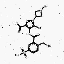 CCCCOc1ccc(S(C)(=O)=O)cc1C(=O)Nc1c(C(N)=O)nn(C2CN(C(C)C)C2)c1CC